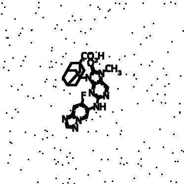 Cn1c(=O)n(C23CC4CC(CC(C(=O)O)(C4)C2)C3)c2nc(Nc3cn4ncnc4cc3F)ncc21